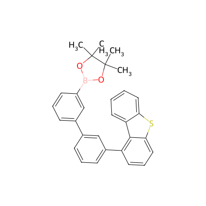 CC1(C)OB(c2cccc(-c3cccc(-c4cccc5sc6ccccc6c45)c3)c2)OC1(C)C